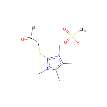 CCC(=O)CSc1n(C)c(C)c(C)[n+]1C.O=S(=O)([O-])C(F)(F)F